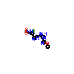 CS(=O)(=O)NCc1cc(F)cc(-c2cncc3[nH]c(-c4n[nH]c5cnc(-c6cncc(OC7CCCCC7)c6)cc45)cc23)c1